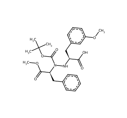 COC(=O)[C@H](Cc1ccccc1)N(N[C@@H](Cc1cccc(OC)c1)C(=O)O)C(=O)OC(C)(C)C